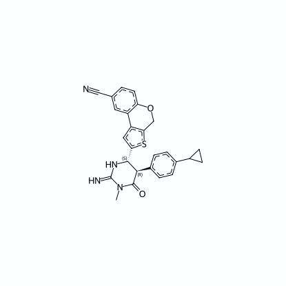 CN1C(=N)N[C@H](c2cc3c(s2)COc2ccc(C#N)cc2-3)[C@@H](c2ccc(C3CC3)cc2)C1=O